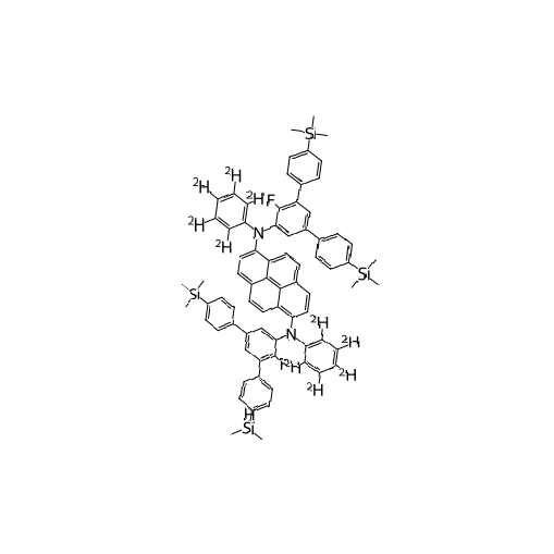 [2H]c1c([2H])c([2H])c(N(c2cc(-c3ccc([Si](C)(C)C)cc3)cc(-c3ccc([SiH](C)C)cc3)c2F)c2ccc3ccc4c(N(c5cc(-c6ccc([Si](C)(C)C)cc6)cc(-c6ccc([Si](C)(C)C)cc6)c5F)c5c([2H])c([2H])c([2H])c([2H])c5[2H])ccc5ccc2c3c54)c([2H])c1[2H]